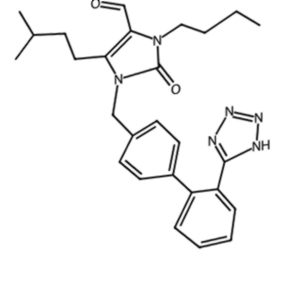 CCCCn1c(C=O)c(CCC(C)C)n(Cc2ccc(-c3ccccc3-c3nnn[nH]3)cc2)c1=O